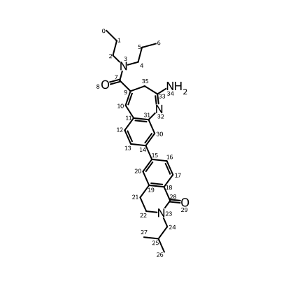 CCCN(CCC)C(=O)C1=Cc2ccc(-c3ccc4c(c3)CCN(CC(C)C)C4=O)cc2N=C(N)C1